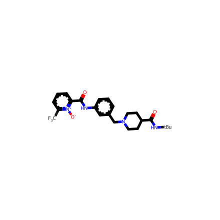 CC(C)(C)NC(=O)C1CCN(Cc2cccc(NC(=O)c3cccc(C(F)(F)F)[n+]3[O-])c2)CC1